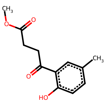 COC(=O)CCC(=O)c1cc(C)ccc1O